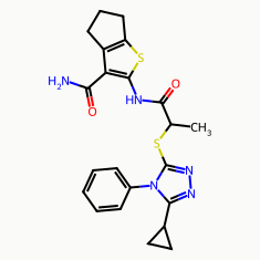 CC(Sc1nnc(C2CC2)n1-c1ccccc1)C(=O)Nc1sc2c(c1C(N)=O)CCC2